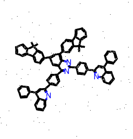 CC1(C)c2ccccc2-c2ccc(-c3cc(-c4ccc5c(c4)C(C)(C)c4ccccc4-5)c4nc(-c5ccc(-c6cc(-c7ccccc7)c7ccccc7n6)cc5)nc(-c5ccc(-c6cc(-c7ccccc7)c7ccccc7n6)cc5)c4c3)cc21